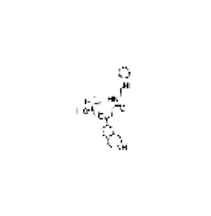 O=C(CCC(=O)c1ccc2c(c1)CCNCC2)NCCNc1ccccc1.O=C(O)C(F)(F)F